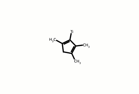 CC1=C(C)[C]([Ti])=C(C)C1